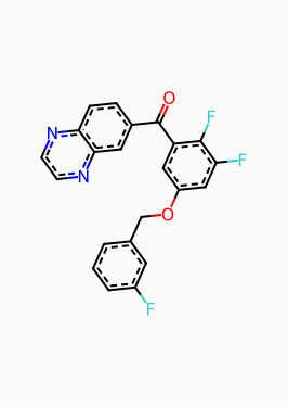 O=C(c1ccc2nccnc2c1)c1cc(OCc2cccc(F)c2)cc(F)c1F